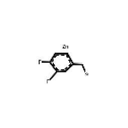 Fc1ccc(CBr)cc1F.[Zn]